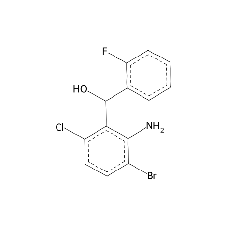 Nc1c(Br)ccc(Cl)c1C(O)c1ccccc1F